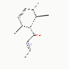 C/C=C/C(=O)C1C(C)C=CC(C)C1C